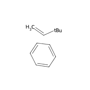 C=CC(C)(C)C.c1ccccc1